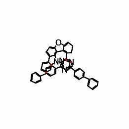 C1=c2oc3ccc4c5ccccc5n(-c5ccccc5)c4c3c2=C(c2nc(-c3ccc(-c4ccccc4)cc3)nc(-c3ccc(-c4ccccc4)cc3)n2)CC1